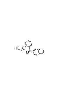 O=C(O)c1ccccc1C(=O)c1ccc2c(c1)CC=C2